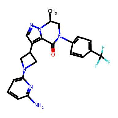 CC1CN(c2ccc(C(F)(F)F)cc2)C(=O)c2c(C3CN(c4cccc(N)n4)C3)cnn21